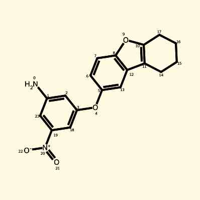 Nc1cc(Oc2ccc3oc4c(c3c2)CCCC4)cc([N+](=O)[O-])c1